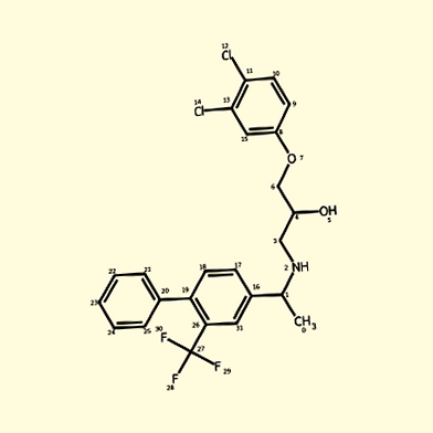 CC(NCC(O)COc1ccc(Cl)c(Cl)c1)c1ccc(-c2ccccc2)c(C(F)(F)F)c1